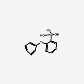 O[Si](O)(O)c1ccccc1Oc1ccccc1